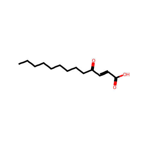 CCCCCCCCCC(=O)C=CC(=O)O